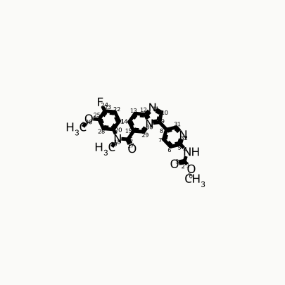 COC(=O)Nc1ccc(-c2cnc3ccc(C(=O)N(C)c4ccc(F)c(OC)c4)cn23)cn1